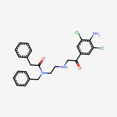 Nc1c(Cl)cc(C(=O)CNCCN(Cc2ccccc2)C(=O)Cc2ccccc2)cc1Cl